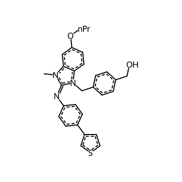 CCCOc1ccc2c(c1)n(C)/c(=N/c1ccc(-c3ccsc3)cc1)n2Cc1ccc(CO)cc1